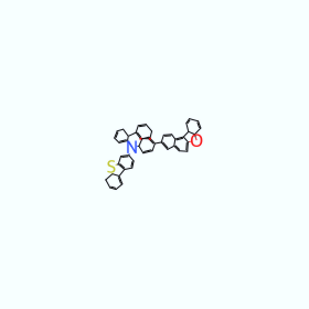 C1=CCC2Sc3cc(N(C4=CC=CCC4C4=CCCC=C4)C4C=CC(c5ccc6c7c(ccc6c5)OC5C=CC=CC75)=CC4)ccc3C2=C1